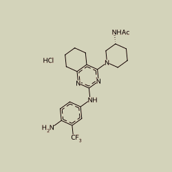 CC(=O)N[C@@H]1CCCN(c2nc(Nc3ccc(N)c(C(F)(F)F)c3)nc3c2CCCC3)C1.Cl